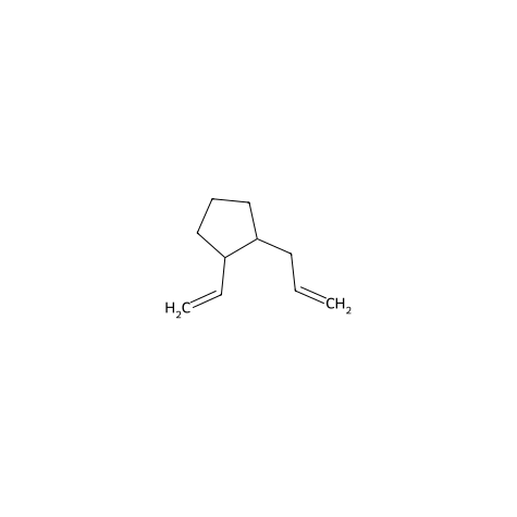 C=CCC1CCCC1C=C